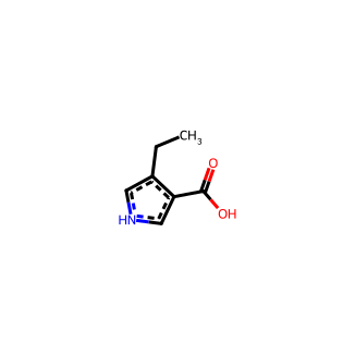 CCc1c[nH]cc1C(=O)O